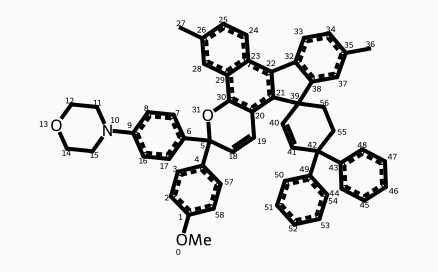 COc1ccc(C2(c3ccc(N4CCOCC4)cc3)C=Cc3c4c(c5ccc(C)cc5c3O2)-c2ccc(C)cc2C42C=CC(c3ccccc3)(c3ccccc3)CC2)cc1